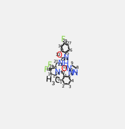 Cc1cccc(-n2nccn2)c1C(=O)N1CCC(F)(F)[C@H]1CNc1nc2ccc(F)cc2o1